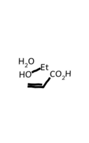 C=CC(=O)O.CCO.O